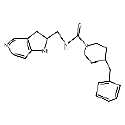 O=C(NCC1Cc2cnccc2N1)N1CCC(Cc2ccccc2)CC1